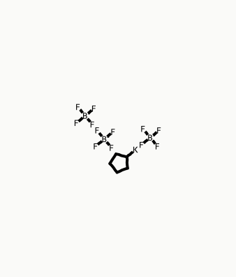 F[B-](F)(F)F.F[B-](F)(F)F.F[B-](F)(F)F.[K][CH]1CCCC1